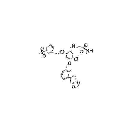 CNS(=O)(=O)CCN(C)Cc1cc(Cl)c(OCc2cccc(-c3ccc4c(c3)OCCO4)c2C)cc1OCc1cccc(S(C)(=O)=O)c1